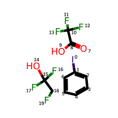 Ic1ccccc1.O=C(O)C(F)(F)F.OC(F)(F)CF